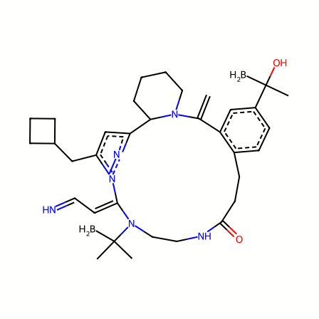 BC(C)(O)c1ccc2c(c1)C(=C)N1CCCCC1c1cc(CC3CCC3)n(n1)/C(=C\C=N)N(C(B)(C)C)CCNC(=O)CC2